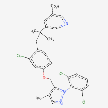 CC(C)c1cnn(-c2c(Cl)cccc2Cl)c1COc1ccc(CC(C)(C)c2cncc(C(=O)O)c2)c(Cl)c1